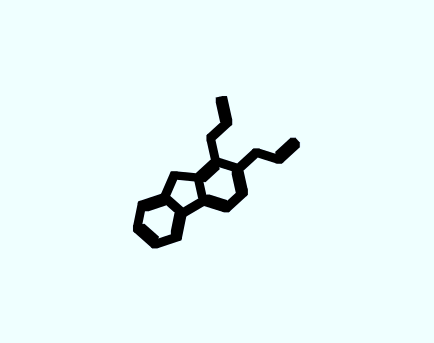 C=CCc1ccc2c(c1CC=C)Cc1ccccc1-2